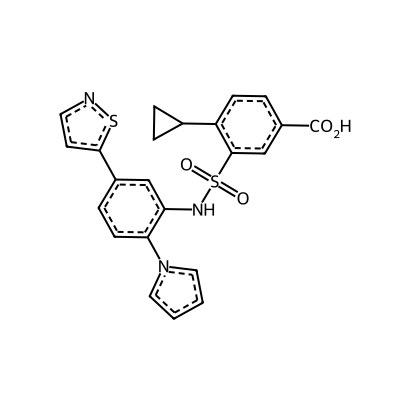 O=C(O)c1ccc(C2CC2)c(S(=O)(=O)Nc2cc(-c3ccns3)ccc2-n2cccc2)c1